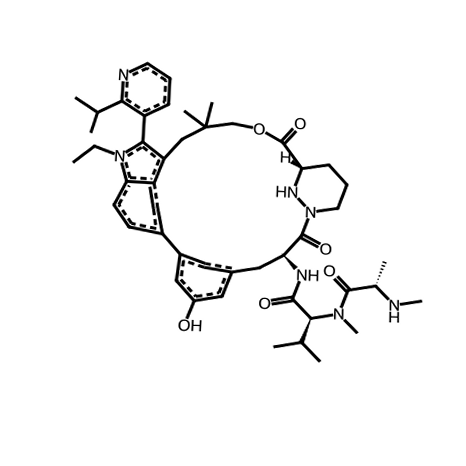 CCn1c(-c2cccnc2C(C)C)c2c3cc(ccc31)-c1cc(O)cc(c1)C[C@H](NC(=O)[C@H](C(C)C)N(C)C(=O)[C@H](C)NC)C(=O)N1CCC[C@H](N1)C(=O)OCC(C)(C)C2